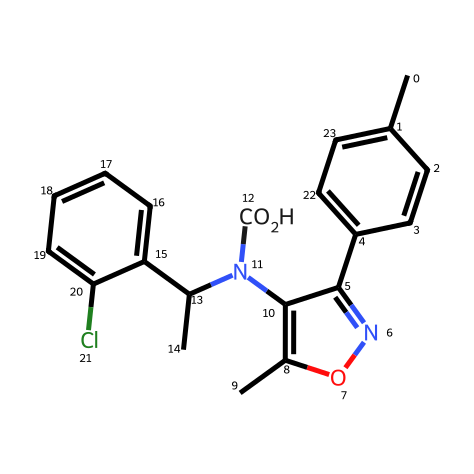 Cc1ccc(-c2noc(C)c2N(C(=O)O)C(C)c2ccccc2Cl)cc1